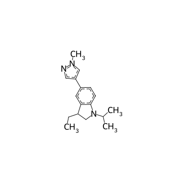 CCC1CN(C(C)C)c2ccc(-c3cnn(C)c3)cc21